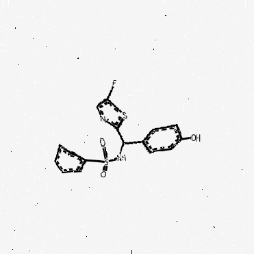 O=S(=O)(NC(c1ccc(O)cc1)c1ncc(F)s1)c1ccccc1